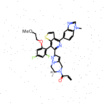 C=CC(=O)N1Cc2cc(-c3nc(-c4ccc5c(c4)ncn5C)c4ccsc4c3-c3c(F)cc(F)cc3OCCOC)nn2C[C@H]1C